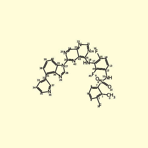 Cc1c(F)cccc1S(=O)(=O)Nc1ccc(F)c(Nc2ncnc3cnc(-n4cnc5c(-c6cccnc6)cccc54)nc23)c1F